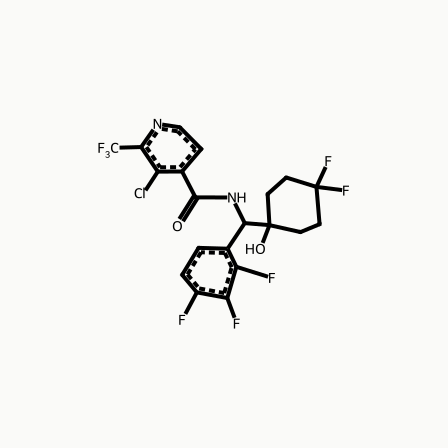 O=C(NC(c1ccc(F)c(F)c1F)C1(O)CCC(F)(F)CC1)c1ccnc(C(F)(F)F)c1Cl